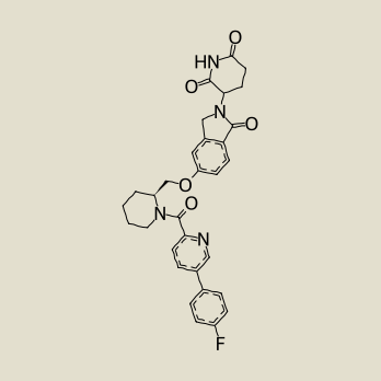 O=C1CCC(N2Cc3cc(OC[C@@H]4CCCCN4C(=O)c4ccc(-c5ccc(F)cc5)cn4)ccc3C2=O)C(=O)N1